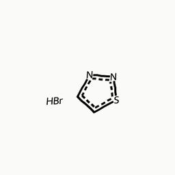 Br.c1csnn1